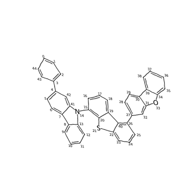 c1ccc(-c2ccc3c4ccccc4n(-c4cccc5c4sc4cccc(-c6ccc7c(c6)oc6ccccc67)c45)c3c2)cc1